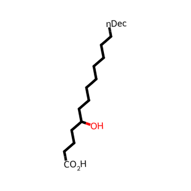 CCCCCCCCCCCCCCCCCCC(O)CCCC(=O)O